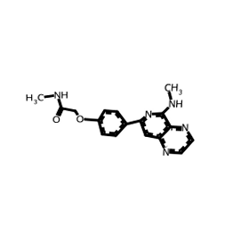 CNC(=O)COc1ccc(-c2cc3nccnc3c(NC)n2)cc1